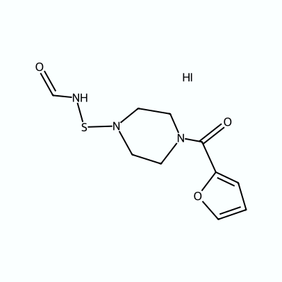 I.O=CNSN1CCN(C(=O)c2ccco2)CC1